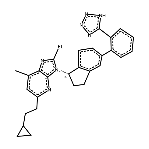 CCc1nc2c(C)cc(CCC3CC3)nc2n1[C@H]1CCc2cc(-c3ccccc3-c3nnn[nH]3)ccc21